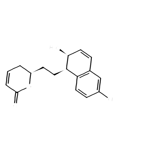 Cc1ccc2c(c1)C=C[C@H](C)[C@@H]2CC[C@@H]1CC=CC(=O)O1